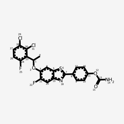 CC(Oc1cc2sc(-c3ccc(OC(N)=O)cc3)nc2cc1F)c1c(F)ccc(Cl)c1Cl